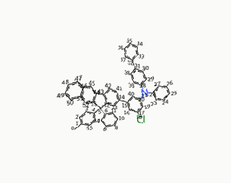 Cc1ccc(C2(c3ccccc3)c3cc(-c4cc(Cl)cc(N(c5ccccc5)c5ccc(-c6ccccc6)cc5)c4)ccc3-c3cc4ccccc4cc32)cc1